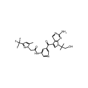 Cc1cc(C(F)(F)F)nn1CC(=O)Nc1cncc(C(=O)c2cn(C(C)(C)CO)c3nc(N)ncc23)c1